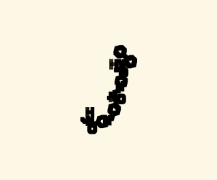 C=C(Nc1ccccc1-c1ccccc1)OC1CCN(CCN(C)C(=O)c2ccc(CN3CCC(C(=O)NCC)CC3)cc2)CC1